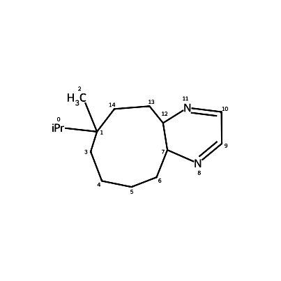 CC(C)C1(C)CCCCC2N=CC=NC2CC1